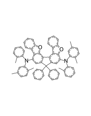 Cc1ccc(C)c(N(c2ccccc2C)c2cc3c(c4c2oc2ccccc24)-c2c(cc(N(c4ccccc4C)c4cc(C)ccc4C)c4c2oc2ccccc24)C3(c2ccccc2)c2ccccc2)c1